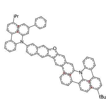 CC(C)c1ccc(-c2ccccc2N(c2cccc(-c3ccccc3)c2)c2ccc3cc4c(cc3c2)oc2cc3cc(N(c5ccccc5-c5ccccc5)c5ccccc5-c5ccc(C(C)(C)C)cc5)ccc3cc24)cc1